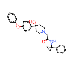 O=C(CN1CCC(O)(c2ccc(Oc3ccccc3)cc2)CC1)NC1(c2ccccc2)CC1